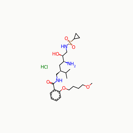 COCCCCOc1ccccc1C(=O)NC[C@@H](C[C@H](N)[C@@H](O)CNS(=O)(=O)C1CC1)C(C)C.Cl